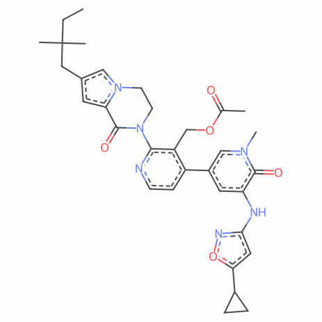 CCC(C)(C)Cc1cc2n(c1)CCN(c1nccc(-c3cc(Nc4cc(C5CC5)on4)c(=O)n(C)c3)c1COC(C)=O)C2=O